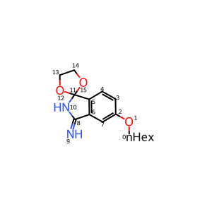 CCCCCCOc1ccc2c(c1)C(=N)NC21OCCO1